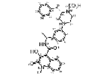 CC(NC(=O)c1c(O)c(=O)n(C)c2ccccc12)c1cccc(N2CCN(C(=O)O)[C@@H](Cc3ccccc3)C2)c1